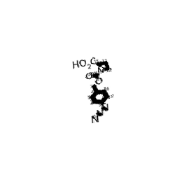 [N-]=[N+]=Nc1ccc(COC(=O)N2CCC2C(=O)O)cc1